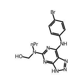 CCCN(CO)c1nc(Nc2ccc(Br)cc2)c2nn[nH]c2n1